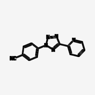 N#Cc1ccc(-n2nnc(-c3ccccn3)n2)cc1